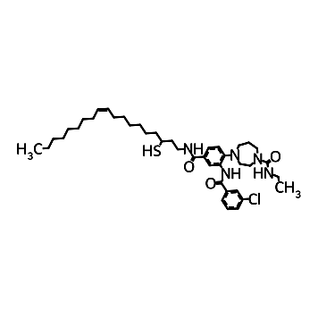 CCCCCCCC/C=C\CCCCCCC(S)CCNC(=O)c1ccc(N2CCCN(C(=O)NCC)CC2)c(NC(=O)c2cccc(Cl)c2)c1